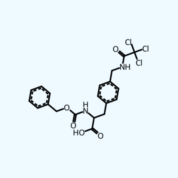 O=C(NC(Cc1ccc(CNC(=O)C(Cl)(Cl)Cl)cc1)C(=O)O)OCc1ccccc1